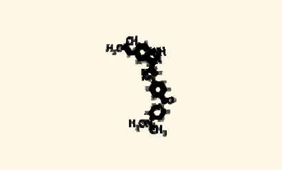 CC(C)=Cc1ccc2[nH]nc(-c3cn(-c4ccc(C(=O)N5CCC(N(C)C)CC5)cc4)nn3)c2c1